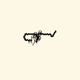 CCCCC/C=C\C/C=C\C/C=C\CCCCCCC(=O)O[C@H](COC(=O)CCCCCCC/C=C\C/C=C\CCCCC)COP(=O)(O)OCCN